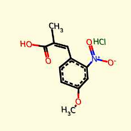 COc1ccc(C=C(C)C(=O)O)c([N+](=O)[O-])c1.Cl